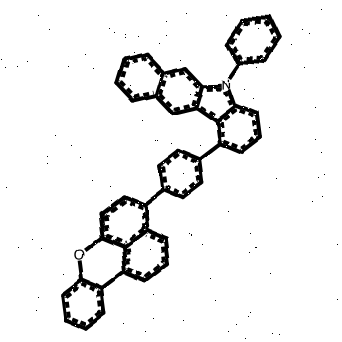 c1ccc(-n2c3cc4ccccc4cc3c3c(-c4ccc(-c5ccc6c7c(cccc57)-c5ccccc5O6)cc4)cccc32)cc1